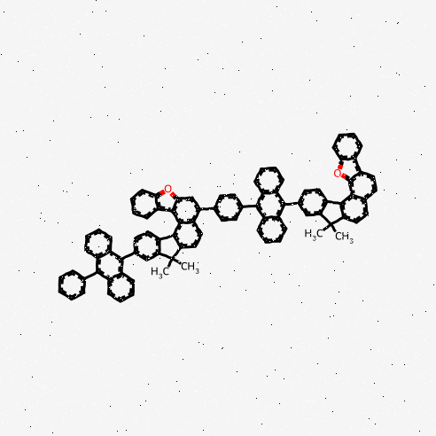 CC1(C)c2cc(-c3c4ccccc4c(-c4ccc(-c5cc6oc7ccccc7c6c6c7c(ccc56)C(C)(C)c5cc(-c6c8ccccc8c(-c8ccccc8)c8ccccc68)ccc5-7)cc4)c4ccccc34)ccc2-c2c1ccc1ccc3c4ccccc4oc3c21